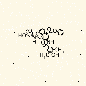 Cc1cc(C(=O)N[C@H]2CN(C(=O)COc3ccccc3)c3ccccc3N(CC(=O)N[C@H](C=O)CC(=O)O)C2=O)cc(C)c1O